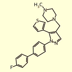 CN1CCN(Cc2cnn(-c3ccc(-c4ccc(F)cc4)cc3)c2-c2ccsc2)CC1